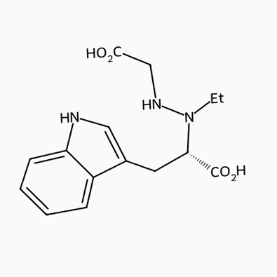 CCN(NCC(=O)O)[C@@H](Cc1c[nH]c2ccccc12)C(=O)O